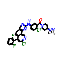 CNC1CCN(C(=O)c2cc(Nc3ncc4c(n3)C3=CN=C(Cl)C=C(c5c(F)cccc5F)C3=CC4)ccc2Cl)CC1